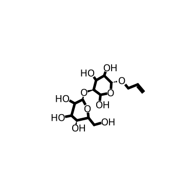 C=CCO[C@@H]1OC(O)[C@@H](O[C@@H]2OC(CO)[C@H](O)C(O)C2O)C(O)C1O